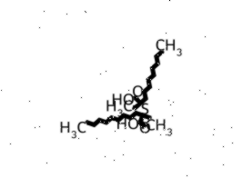 CCCCCCCCCCC(CC)(SC(CC)(CCCCCCCCCC)C(=O)O)C(=O)O